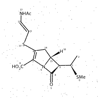 CS[C@H](C)[C@H]1C(=O)N2C(C(=O)O)=C(SC=CNC(C)=O)C[C@H]12